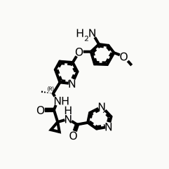 COc1ccc(Oc2ccc([C@@H](C)NC(=O)C3(NC(=O)c4cncnc4)CC3)nc2)c(N)c1